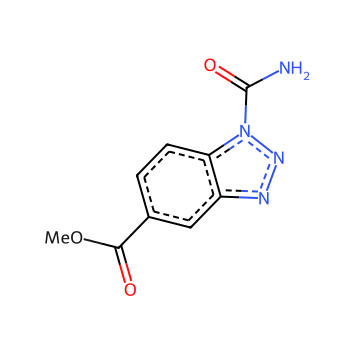 COC(=O)c1ccc2c(c1)nnn2C(N)=O